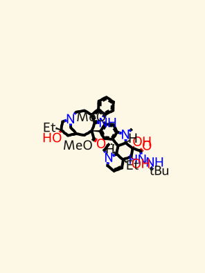 CC[C@]1(O)CC2CN(CCc3c([nH]c4ccccc34)[C@@](C(=O)OC)(c3cc4c(cc3OC)N(C)[C@H]3[C@@](O)(C(=O)NNC(C)(C)C)[C@H](O)[C@]5(CC)C=CCN6CC[C@]43[C@@H]65)C2)C1